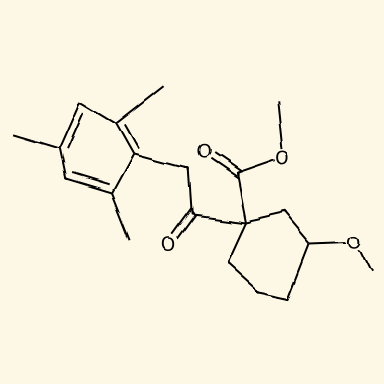 COC(=O)C1(C(=O)Cc2c(C)cc(C)cc2C)CCCC(OC)C1